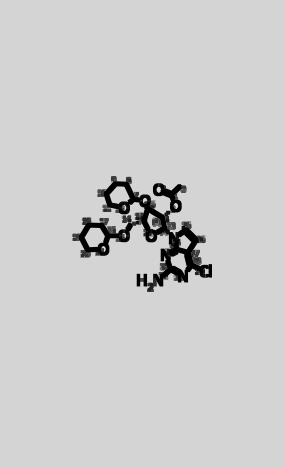 CC(=O)O[C@H]1[C@H](OC2CCCCO2)[C@@H](COC2CCCCO2)O[C@H]1n1ccc2c(Cl)nc(N)nc21